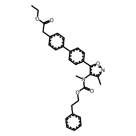 CCOC(=O)Cc1ccc(-c2ccc(-c3onc(C)c3N(C)C(=O)OCCc3ccccc3)cc2)cc1